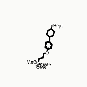 CCCCCCCC1CCC(c2ccc(OCCC[Si](OC)(OC)OC)cc2)CC1